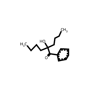 CCCCC(O)(CCCC)C(=O)c1ccccc1